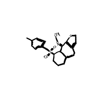 Cc1ccc(S(=O)(=O)C2CCCC3=CC4=C(SCC4)C(=NO)C32)cc1